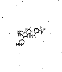 Cc1nc(N[C@H](C)c2cccc(C(F)(F)F)c2)c2cc(C3=CCNCC3)c3nncn3c2n1